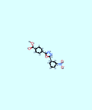 COC(=O)c1ccc(-c2nnc(-c3cccc([N+](=O)[O-])c3)o2)cc1